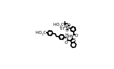 CCN(C(C)(C)C(=O)O)S(=O)(=O)c1cccc(C(=O)Nc2sc3c(c2C(=O)Nc2ccc(CCc4ccc(C(=O)O)cc4)cc2)CCCC3)c1